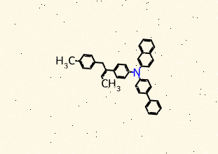 C/C=C(/Cc1ccc(C)cc1)c1ccc(N(c2ccc(-c3ccccc3)cc2)c2ccc3ccccc3c2)cc1